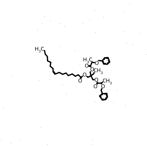 CCCCCCCC/C=C\CCCCCCCC(=O)OCC(CC)(COC(=O)C(C)OCc1ccccc1)COC(=O)C(C)OCc1ccccc1